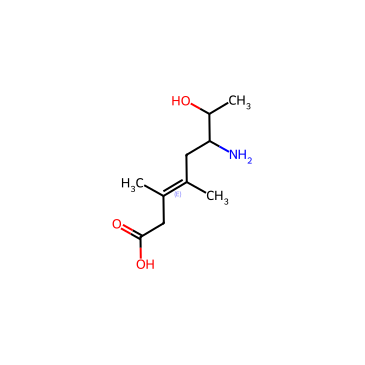 C/C(CC(=O)O)=C(/C)CC(N)C(C)O